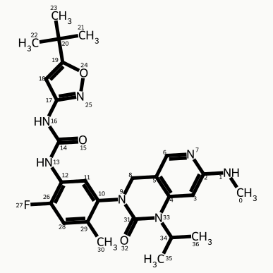 CNc1cc2c(cn1)CN(c1cc(NC(=O)Nc3cc(C(C)(C)C)on3)c(F)cc1C)C(=O)N2C(C)C